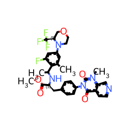 COC(=O)[C@H](Cc1ccc(-n2c(=O)c3ccncc3n(C)c2=O)cc1)NC(C)c1c(C)cc(N2CCOC[C@@H]2C(F)(F)F)cc1F